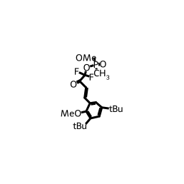 COc1c(C=CC(=O)C(F)(F)OP(C)(=O)OC)cc(C(C)(C)C)cc1C(C)(C)C